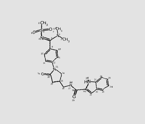 CN(C)/C(=N\S(C)(=O)=O)c1ccc(N2CC(CNC(=O)c3cc4ccccc4[nH]3)CC2=O)cc1